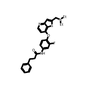 CCN(CC)Cc1cc2nccc(Oc3ccc(NC(=O)CCc4ccccc4)cc3F)c2s1